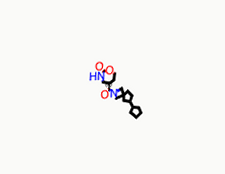 O=C1NC[C@H](C(=O)N2CC3(CCC(C4CCCC4)C3)C2)CCO1